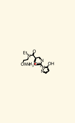 C\C=C(/C=N\C(=C/C)n1nccc1O)C(=O)N(CC)CCOC